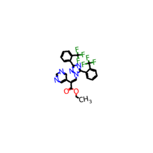 CCOC(=O)/C(=C/n1nc(-c2ccccc2C(F)(F)F)nc1-c1ccccc1C(F)(F)F)c1cncnc1